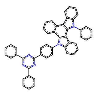 c1ccc(-c2nc(-c3ccccc3)nc(-c3ccc(-n4c5ccccc5c5c4c4ccccc4c4c6ccccc6n(-c6ccccc6)c45)cc3)n2)cc1